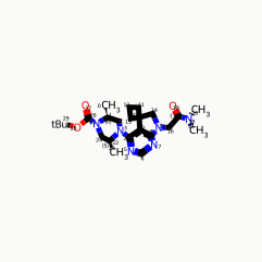 C[C@@H]1CN(c2ncnc3c2C2(CCC2)CN3CC(=O)N(C)C)[C@@H](C)CN1C(=O)OC(C)(C)C